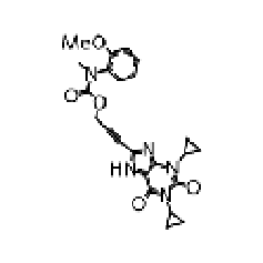 COc1ccccc1N(C)C(=O)OCC#Cc1nc2c([nH]1)c(=O)n(C1CC1)c(=O)n2C1CC1